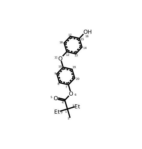 CCC(C)(CC)C(=O)Oc1ccc(Oc2ccc(O)cc2)cc1